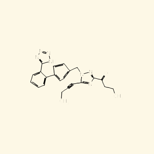 CCC#Cc1nc(C(=O)CCC)nn1Cc1ccc(-c2ccccc2-c2nnn[nH]2)cc1